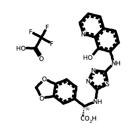 O=C(O)C(F)(F)F.O=C(O)[C@@H](Nc1nnc(Nc2ccc3cccnc3c2O)s1)c1ccc2c(c1)OCO2